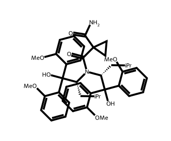 COc1ccccc1C(O)(c1ccccc1OC)[C@@H](CC(C)C)N(C(=O)C1(C(N)=O)CC1)[C@H](CC(C)C)C(O)(c1ccccc1OC)c1ccccc1OC